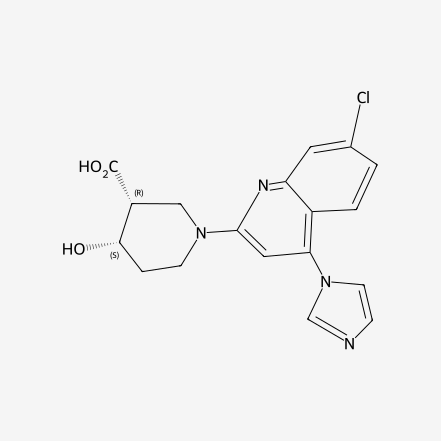 O=C(O)[C@@H]1CN(c2cc(-n3ccnc3)c3ccc(Cl)cc3n2)CC[C@@H]1O